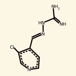 N=C(N)NN=Cc1ccncc1Cl